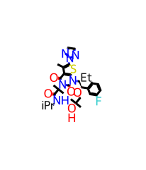 CCc1ccc(F)cc1[C@H](Cn1c(=O)n(C(C)(C)C(=O)NC(C)C)c(=O)c2c(C)c(-n3nccn3)sc21)OCC(C)(C)O